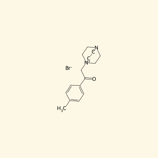 Cc1ccc(C(=O)C[N+]23CCN(CC2)CC3)cc1.[Br-]